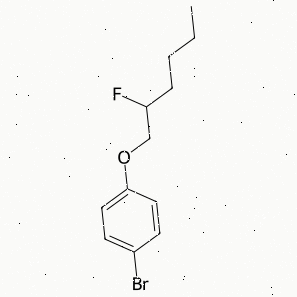 CCCCC(F)COc1ccc(Br)cc1